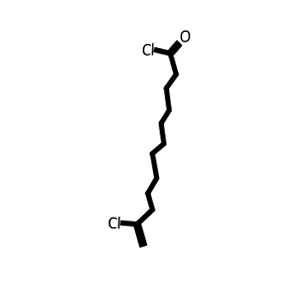 C=C(Cl)CCCCCCCCCC(=O)Cl